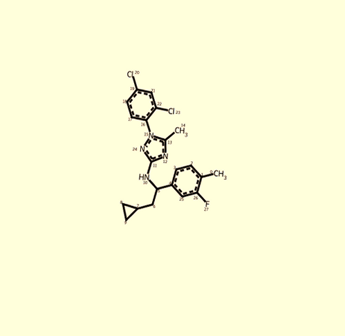 Cc1ccc(C(CC2CC2)Nc2nc(C)n(-c3ccc(Cl)cc3Cl)n2)cc1F